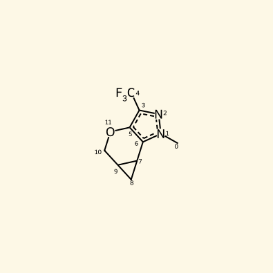 Cn1nc(C(F)(F)F)c2c1C1CC1CO2